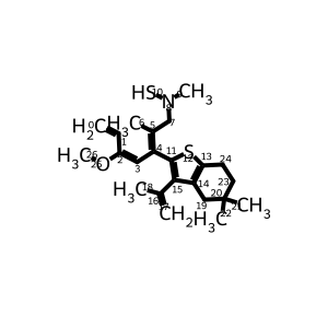 C=C/C(=C\C(=C(/C)CN(C)S)c1sc2c(c1C(=C)C)CC(C)(C)CC2)OC